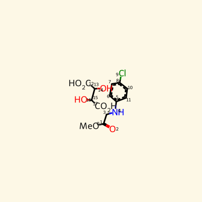 COC(=O)CNc1ccc(Cl)cc1.O=C(O)C(O)C(O)C(=O)O